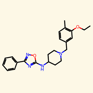 CCOc1cc(CN2CCC(Nc3nc(-c4ccccc4)no3)CC2)ccc1C